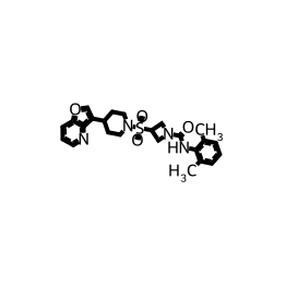 Cc1cccc(C)c1NC(=O)N1CC(S(=O)(=O)N2CCC(c3coc4cccnc34)CC2)C1